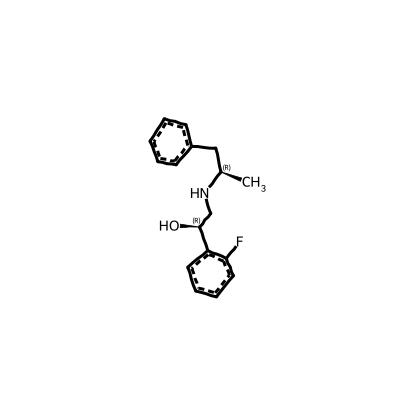 C[C@H](Cc1ccccc1)NC[C@H](O)c1ccccc1F